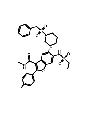 CCS(=O)(=O)Nc1cc2oc(-c3ccc(F)cc3)c(C(=O)NC)c2cc1[C@H]1CCCN(S(=O)(=O)Cc2ccccc2)C1